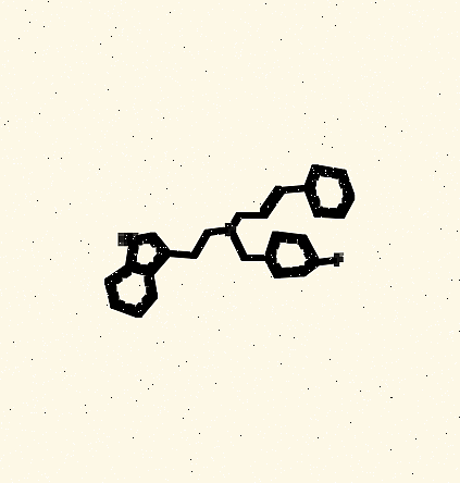 Fc1ccc(CN(CC=Cc2ccccc2)CCc2c[nH]c3ccccc23)cc1